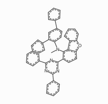 CN(c1ccc(-c2ccccc2)cc1-c1ccccc1)c1c(-c2nc(-c3ccccc3)nc(-c3ccccc3)n2)ccc2oc3ccccc3c12